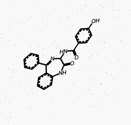 O=C(NC1N=C(c2ccccc2)c2ccccc2NC1=O)c1ccc(O)cc1